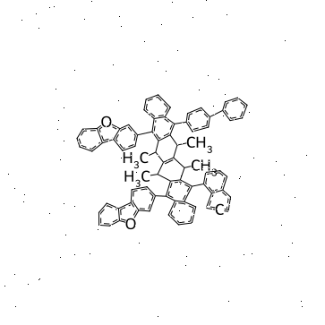 CC1C2=C(C(C)c3c1c(-c1ccc4c(c1)oc1ccccc14)c1ccccc1c3-c1ccc(-c3ccccc3)cc1)C(C)c1c(c(-c3ccc4c(c3)oc3ccccc34)c3ccccc3c1-c1cccc3ccccc13)C2C